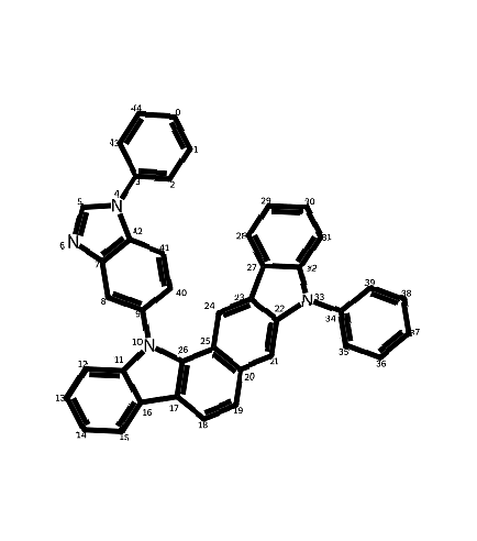 c1ccc(-n2cnc3cc(-n4c5ccccc5c5ccc6cc7c(cc6c54)c4ccccc4n7-c4ccccc4)ccc32)cc1